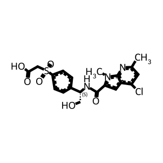 Cc1cc(Cl)c2cc(C(=O)N[C@H](CO)c3ccc(S(=O)(=O)CC(=O)O)cc3)n(C)c2n1